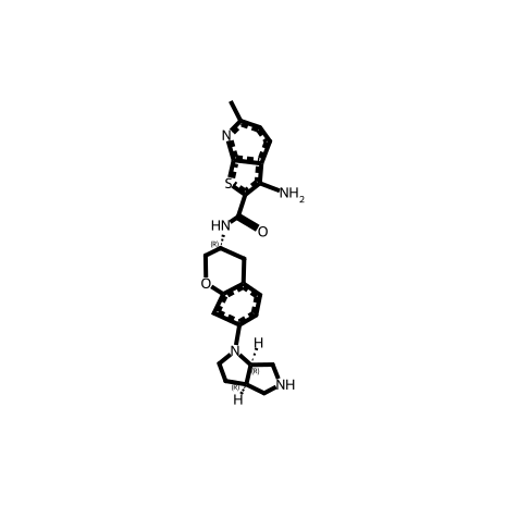 Cc1ccc2c(N)c(C(=O)N[C@H]3COc4cc(N5CC[C@@H]6CNC[C@@H]65)ccc4C3)sc2n1